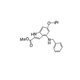 COC(=O)c1cc2c(NCc3ccccc3)cc(OC(C)C)cc2[nH]1